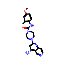 COc1ccc(NC(=O)N2CCN(c3cc(N)c4cnccc4n3)CC2)c(C)c1